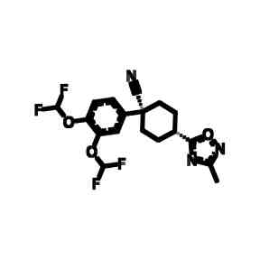 Cc1noc([C@H]2CC[C@](C#N)(c3ccc(OC(F)F)c(OC(F)F)c3)CC2)n1